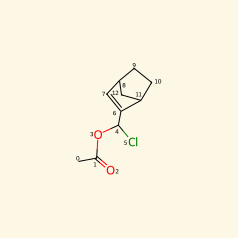 CC(=O)OC(Cl)C1=CC2CCC1C2